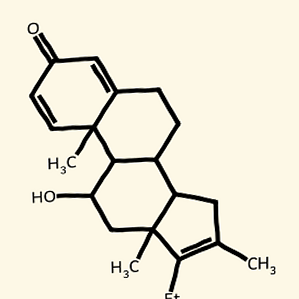 CCC1=C(C)CC2C3CCC4=CC(=O)C=CC4(C)C3C(O)CC12C